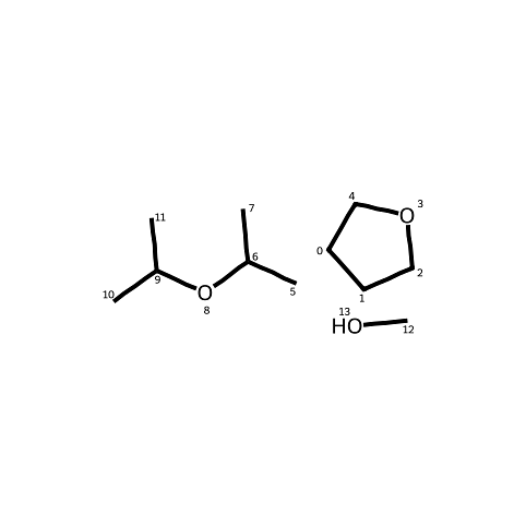 C1CCOC1.CC(C)OC(C)C.CO